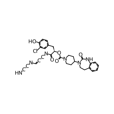 N=C=C=NC=C=C=NC(=O)[C@@H](Cc1ccc(O)c(Cl)c1)OC(=O)N1CCC(N2CCc3ccccc3NC2=O)CC1